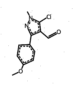 COc1ccc(-c2nn(C)c(Cl)c2C=O)cc1